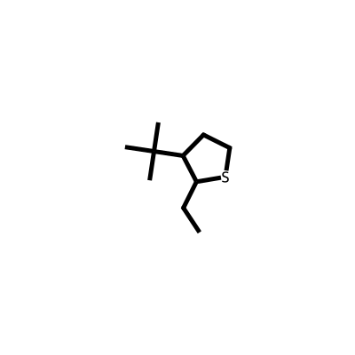 CCC1SCCC1C(C)(C)C